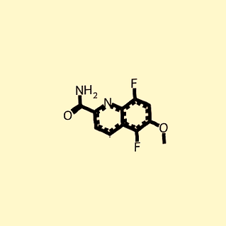 COc1cc(F)c2nc(C(N)=O)c[c]c2c1F